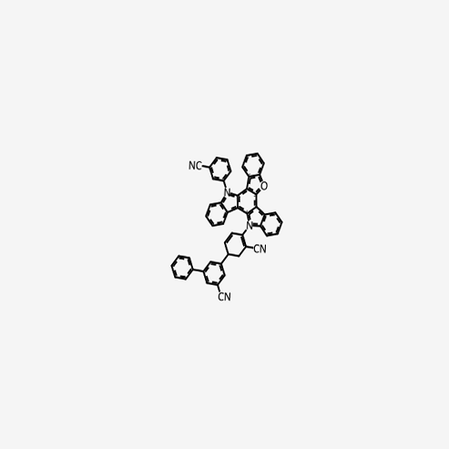 N#CC1=C(n2c3ccccc3c3c4oc5ccccc5c4c4c(c5ccccc5n4-c4cccc(C#N)c4)c32)C=CC(c2cc(C#N)cc(-c3ccccc3)c2)C1